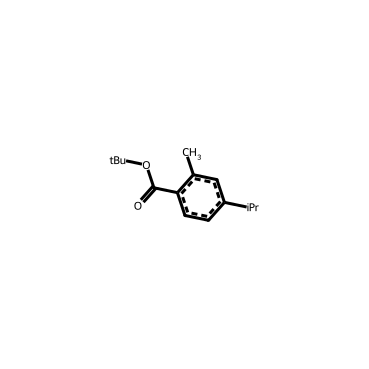 Cc1cc(C(C)C)ccc1C(=O)OC(C)(C)C